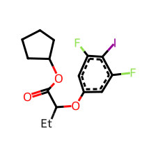 CCC(Oc1cc(F)c(I)c(F)c1)C(=O)OC1CCCC1